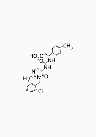 Cc1ccc([C@H](CC(=O)O)NC(=O)Nc2cnc(C)n(Cc3ccccc3Cl)c2=O)cc1